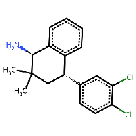 CC1(C)C[C@@H](c2ccc(Cl)c(Cl)c2)c2ccccc2[C@@H]1N